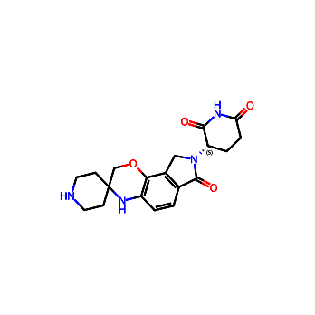 O=C1CC[C@H](N2Cc3c(ccc4c3OCC3(CCNCC3)N4)C2=O)C(=O)N1